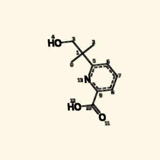 CC(C)(CO)c1cccc(C(=O)O)n1